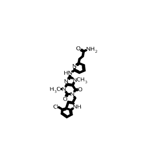 Cn1c(Nc2cccc(CCC(N)=O)n2)nc2c1c(=O)n(Cc1cc3c(Cl)cccc3[nH]1)c(=O)n2C